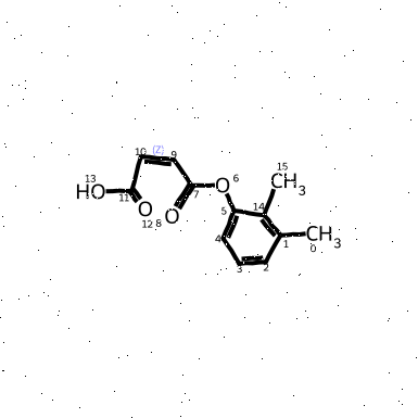 Cc1cccc(OC(=O)/C=C\C(=O)O)c1C